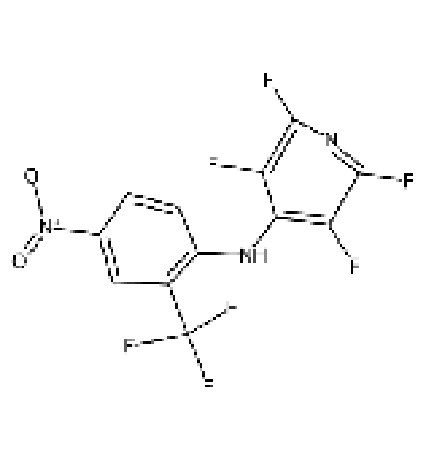 O=[N+]([O-])c1ccc(Nc2c(F)c(F)nc(F)c2F)c(C(F)(F)F)c1